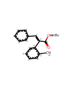 CCCCOC(=O)/C(=C/c1ccccc1)c1ccccc1C#N